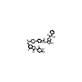 COC(C(=O)N1Cc2[nH]nc(NC(=O)c3ccc(N4CCC(N(C)Cc5cc(F)c6c(c5)CN(C5CCC(=O)NC5=O)C6=O)CC4)cc3)c2C1)c1ccccc1